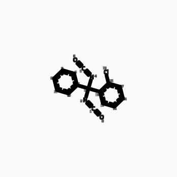 O=C=NC(N=C=O)(c1ccccc1)c1ccccc1Cl